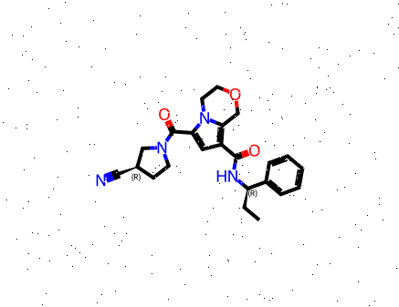 CC[C@@H](NC(=O)c1cc(C(=O)N2CC[C@@H](C#N)C2)n2c1COCC2)c1ccccc1